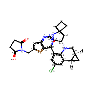 O=C1CCC(=O)N1Cc1cc2ncnc(-c3cc(Cl)cc4c3N([C@@H]3CNC5(CCC5)C3)C[C@H]3C[C@@H]43)c2s1